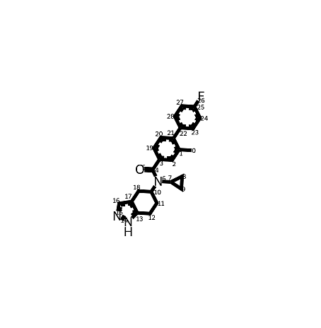 Cc1cc(C(=O)N(C2CC2)C2CCc3[nH]ncc3C2)ccc1-c1ccc(F)cc1